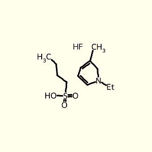 CCCCS(=O)(=O)O.CCN1C=CC=C(C)C1.F